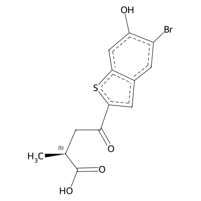 C[C@@H](CC(=O)c1cc2cc(Br)c(O)cc2s1)C(=O)O